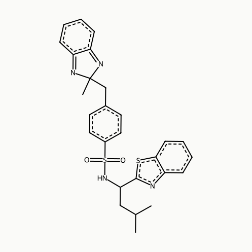 CC(C)CC(NS(=O)(=O)c1ccc(CC2(C)N=c3ccccc3=N2)cc1)c1nc2ccccc2s1